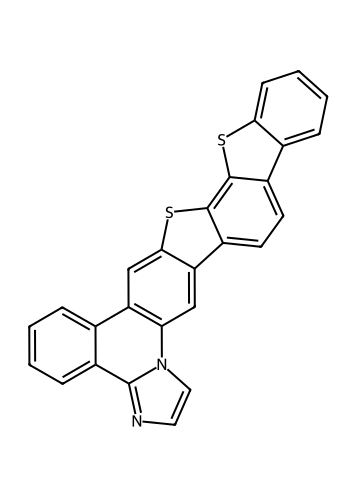 c1ccc2c(c1)sc1c2ccc2c3cc4c(cc3sc21)c1ccccc1c1nccn41